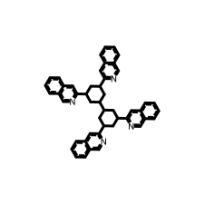 c1ccc2cc(C3CC(c4cc5ccccc5cn4)CC(C4CC(c5cc6ccccc6cn5)CC(c5cc6ccccc6cn5)C4)C3)ncc2c1